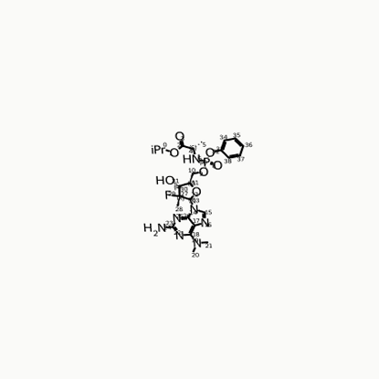 CC(C)OC(=O)[C@H](C)N[P@@](=O)(OC[C@H]1O[C@@H](n2cnc3c(N(C)C)nc(N)nc32)[C@](C)(F)[C@@H]1O)Oc1ccccc1